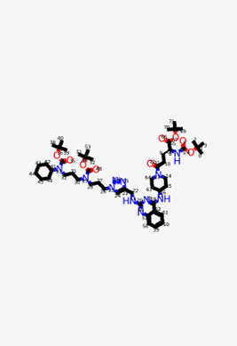 CC(C)(C)OC(=O)N[C@@H](CCC(=O)N1CCC(Nc2nc(NCc3cn(CCCN(CCCN(C(=O)OC(C)(C)C)C4CCCCC4)C(=O)OC(C)(C)C)nn3)nc3ccccc23)CC1)C(=O)OC(C)(C)C